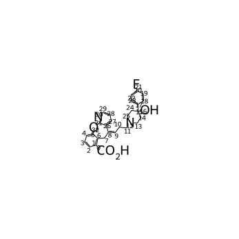 O=C(O)c1cccc2c1C/C(=C/CCN1CCC(O)(c3ccc(F)cc3)CC1)c1cccnc1O2